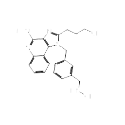 CCCCc1nc2c(N)nc3ccccc3c2n1Cc1cccc(CNC)c1